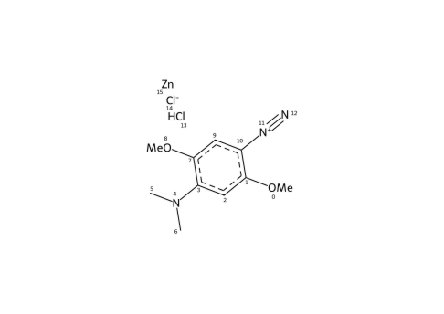 COc1cc(N(C)C)c(OC)cc1[N+]#N.Cl.[Cl-].[Zn]